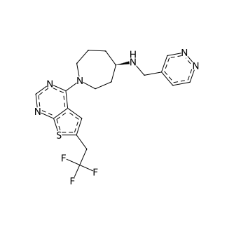 FC(F)(F)Cc1cc2c(N3CCC[C@@H](NCc4ccnnc4)CC3)ncnc2s1